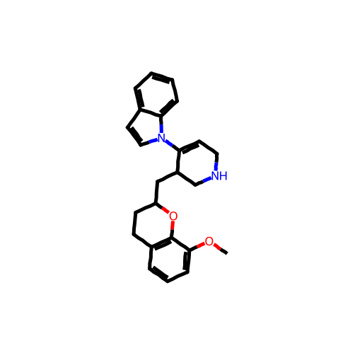 COc1cccc2c1OC(CC1CNCC=C1n1ccc3ccccc31)CC2